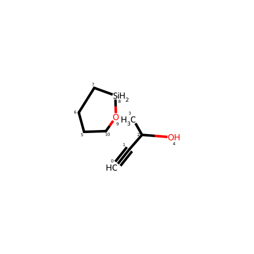 C#CC(C)O.C1CC[SiH2]OC1